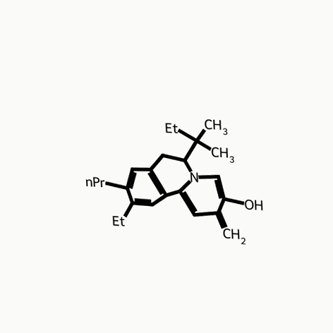 C=C1C=C2c3cc(CC)c(CCC)cc3CC(C(C)(C)CC)N2C=C1O